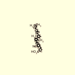 Cc1c(-c2nc3c(o2)CN(C(=O)CN(C)C)C3)cccc1-c1cccc(-c2nc3cc(CN4CCC(C(=O)O)C4)cc(C#N)c3o2)c1C